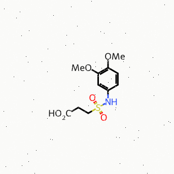 COc1ccc(NS(=O)(=O)CCC(=O)O)cc1OC